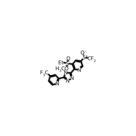 CCS(=O)(=O)c1cc([S+]([O-])C(F)(F)F)cnc1-c1nnc(-c2cc(C(F)(F)F)ccn2)n1C